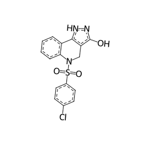 O=S(=O)(c1ccc(Cl)cc1)N1Cc2c(O)n[nH]c2-c2ccccc21